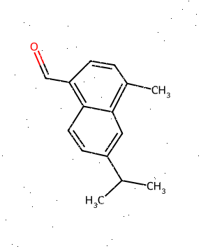 Cc1ccc(C=O)c2ccc(C(C)C)cc12